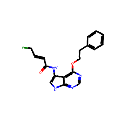 O=C(C=CCF)Nc1c[nH]c2ncnc(OCCc3ccccc3)c12